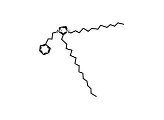 CCCCCCCCCCCCCCCCc1n(CCCCCCCCCCCCC)cc[n+]1CCCc1ccccc1